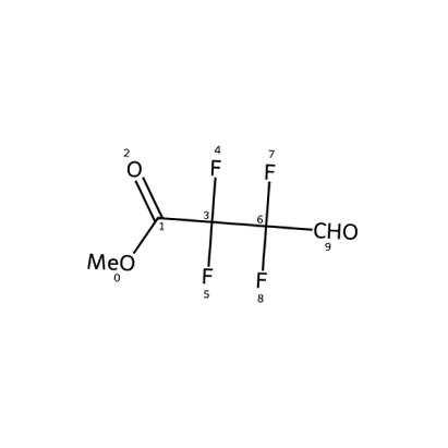 COC(=O)C(F)(F)C(F)(F)C=O